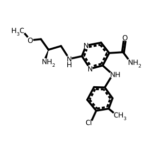 COC[C@H](N)CNc1ncc(C(N)=O)c(Nc2ccc(Cl)c(C)c2)n1